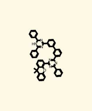 CC1(C)c2ccccc2Oc2c(-c3nc(-c4ccccc4)nc(-c4cccc(-c5cccc(C6=NC(c7ccccc7)NC(c7ccccc7)=N6)c5)c4)n3)cccc21